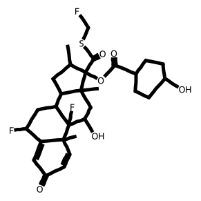 CC1CC2C3CC(F)C4=CC(=O)C=CC4(C)C3(F)C(O)CC2(C)C1(OC(=O)C1CCC(O)CC1)C(=O)SCF